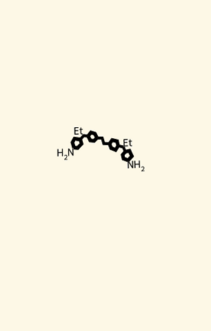 CCC(c1ccc(N)cc1)c1ccc(CCc2ccc(C(CC)c3ccc(N)cc3)cc2)cc1